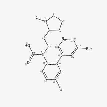 CN1CCCC1CCN(C(=O)O)c1ccc(F)cc1-c1cccc(F)c1